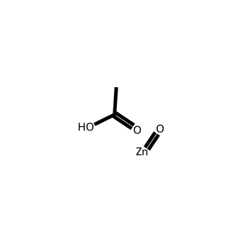 CC(=O)O.[O]=[Zn]